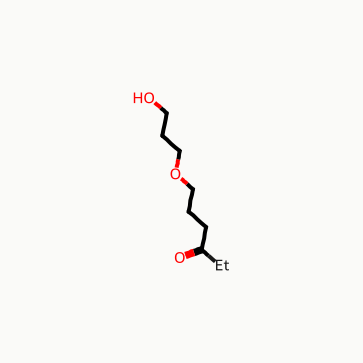 CCC(=O)CCCOCCCO